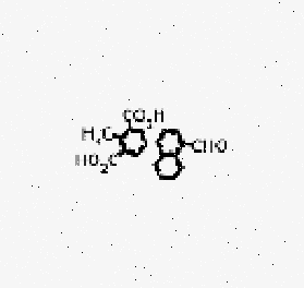 Cc1c(C(=O)O)cccc1C(=O)O.O=Cc1cccc2ccccc12